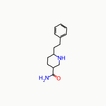 NC(=O)C1CCC(CCc2ccccc2)NC1